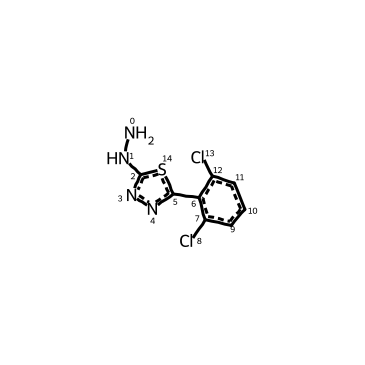 NNc1nnc(-c2c(Cl)cccc2Cl)s1